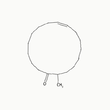 CC1CCCCCC/C=C\CCCCCCCC1=O